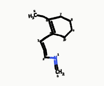 C=N/C=C\C1=C(C)CCCC1